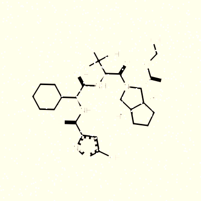 CCOC(=O)[C@@H]1[C@H]2CCC[C@H]2CN1C(=O)[C@@H](NC(=O)[C@@H](NC(=O)c1cc(C)on1)C1CCCCC1)C(C)(C)C